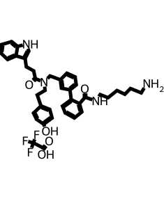 NCCCCCCNC(=O)c1ccccc1-c1cccc(CN(CCc2ccc(O)cc2)C(=O)CCc2c[nH]c3ccccc23)c1.O=C(O)C(F)(F)F